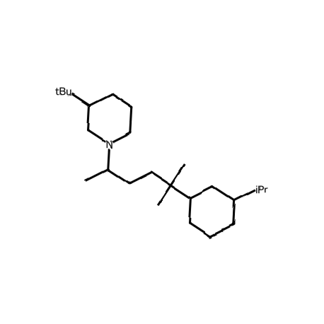 CC(C)C1CCCC(C(C)(C)CCC(C)N2CCCC(C(C)(C)C)C2)C1